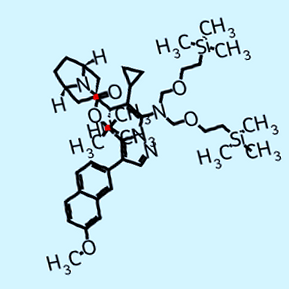 COc1ccc2ccc(-c3cnn4c3N[C@H]([C@@H]3C[C@H]5CC[C@@H](C3)N5C(=O)OC(C)(C)C)C(C3CC3)=C4N(COCC[Si](C)(C)C)COCC[Si](C)(C)C)cc2c1